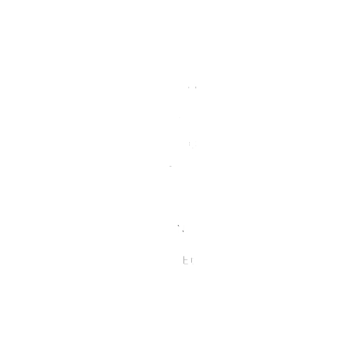 CCN1CCC2(CCC(=O)O2)CC1